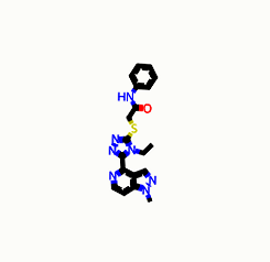 CCn1c(SCC(=O)Nc2ccccc2)nnc1-c1nccc2c1cnn2C